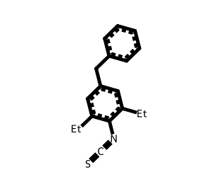 CCc1cc(Cc2ccccc2)cc(CC)c1N=C=S